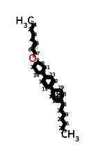 CCCCC/C=C/COC1CCC(c2ccc(C34CCC(CCCCCCC)(CC3)CC4)cc2)CC1